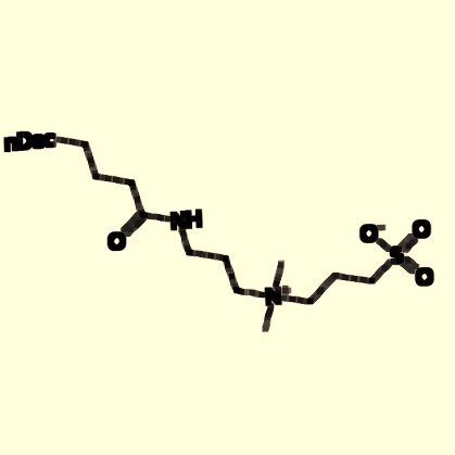 CCCCCCCCCCCCCC(=O)NCCC[N+](C)(C)CCCS(=O)(=O)[O-]